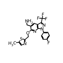 Cc1cnc(COc2nc3c(cc2CN)c(C(F)(F)F)nn3-c2ccc(F)cc2)s1